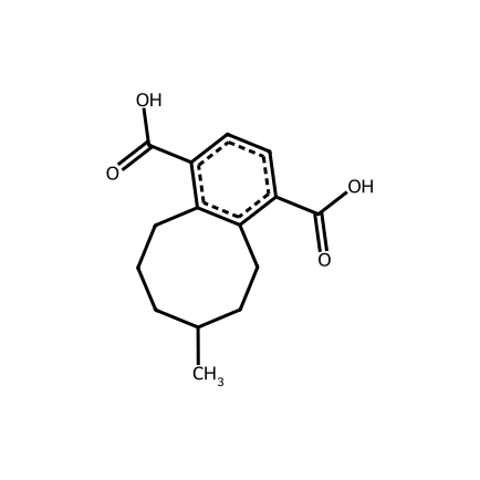 CC1CCCc2c(C(=O)O)ccc(C(=O)O)c2CC1